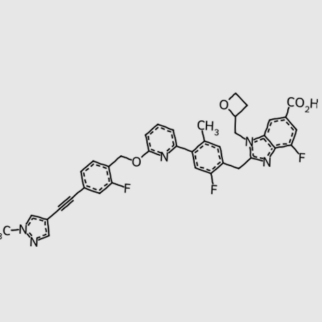 Cc1cc(Cc2nc3c(F)cc(C(=O)O)cc3n2CC2CCO2)c(F)cc1-c1cccc(OCc2ccc(C#Cc3cnn(C)c3)cc2F)n1